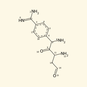 N=C(N)c1ccc([C](N)C(=O)C(N)CC=O)cc1